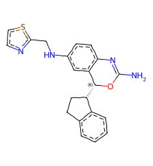 NC1=Nc2ccc(NCc3nccs3)cc2[C@@H](C2CCc3ccccc32)O1